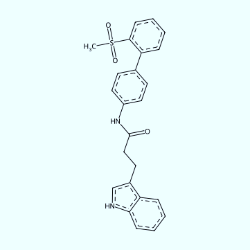 CS(=O)(=O)c1ccccc1-c1ccc(NC(=O)CCc2c[nH]c3ccccc23)cc1